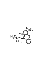 CC(CN1c2ccccc2Sc2ccccc21)N(C)C.CCCCI